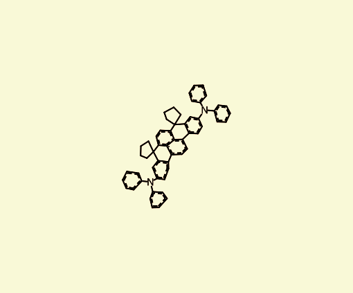 c1ccc(N(c2ccccc2)c2ccc3c(c2)C2(CCCC2)c2ccc4c5c(ccc-3c25)-c2ccc(N(c3ccccc3)c3ccccc3)cc2C42CCCC2)cc1